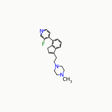 CN1CCN(CCC2=CCc3c2cccc3-c2ccncc2F)CC1